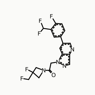 O=C(Cn1ncc2ncc(-c3ccc(F)c(C(F)F)c3)cc21)N1CC(F)(CF)C1